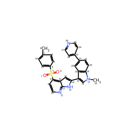 Cc1ccc(S(=O)(=O)c2ccnc3[nH]c(-c4cn(C)c5ccc(-c6ccncc6)cc45)cc23)cc1